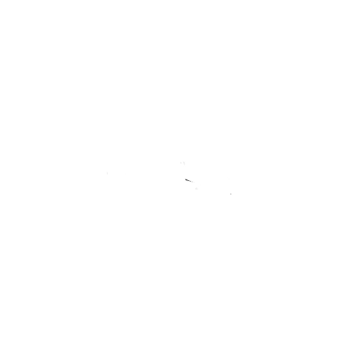 CSC1CCCC(NC[C@@H]2C=CNC(F)C2)C1